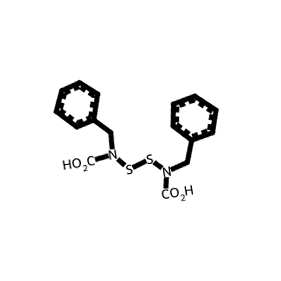 O=C(O)N(Cc1ccccc1)SSN(Cc1ccccc1)C(=O)O